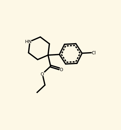 CCOC(=O)C1(c2ccc(Cl)cc2)CCNCC1